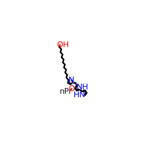 CCCOc1cc(-c2ccc[nH]2)[nH]c1/C=C1\C=CC(CCCCCCCCCCCCCO)=N1